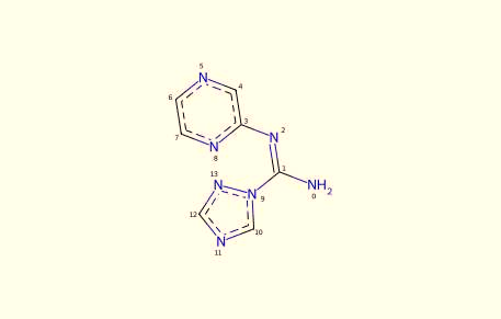 NC(=Nc1cnccn1)n1cncn1